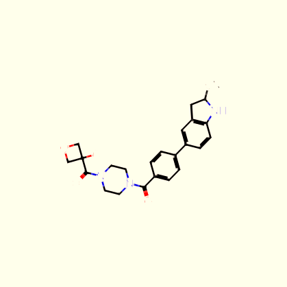 N#CC1Cc2cc(-c3ccc(C(=O)N4CCN(C(=O)C5(O)COC5)CC4)cc3)ccc2N1